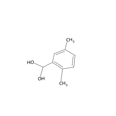 Cc1ccc(C)c(C(O)O)c1